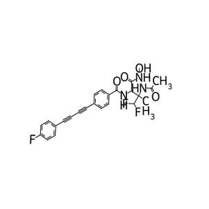 CC(=O)NC(C)(C(F)F)C(NC(=O)c1ccc(C#CC#Cc2ccc(F)cc2)cc1)C(=O)NO